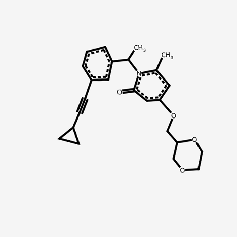 Cc1cc(OCC2COCCO2)cc(=O)n1C(C)c1cccc(C#CC2CC2)c1